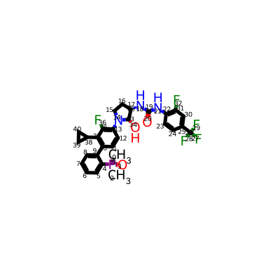 CP(C)(=O)c1ccccc1-c1ccc(N2CC[C@@H](NC(=O)Nc3ccc(C(F)(F)F)cc3F)C2O)c(F)c1C1CC1